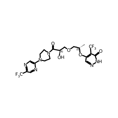 C[C@@H](COC[C@@H](O)C(=O)N1CCN(c2cnc(C(F)(F)F)cn2)CC1)Oc1cn[nH]c(=O)c1C(F)(F)F